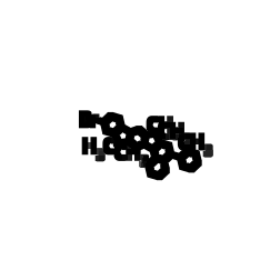 Cc1ccccc1-c1cc2c(c3ccccc13)-c1cc3c(cc1C2(C)C)-c1ccc(Br)cc1C3(C)C